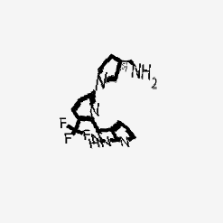 NC[C@@H]1CCN(c2ccc(C(F)(F)F)c(-c3n[nH]c4ncccc34)n2)C1